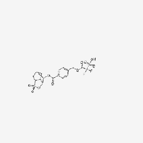 O=C(OC1C2CC3C1OS(=O)(=O)C3C2)c1ccc(COC(=O)C(F)(F)S(=O)(=O)O)cc1